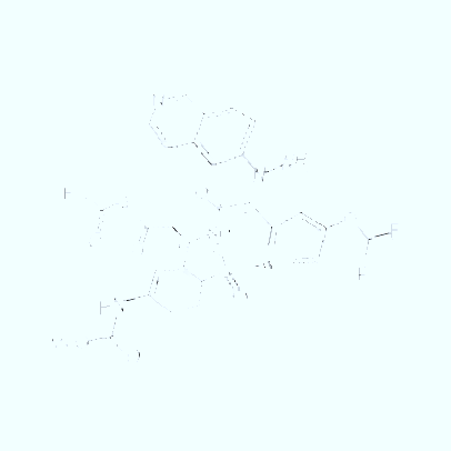 COC(=O)Nc1ccc(S(=O)(=O)C(C)C)c([C@@H](CC(=O)OC(=O)C(F)(F)F)NC(=O)[C@@H](c2cccc(OC(F)F)c2)N(N)c2ccc3cnccc3c2)c1